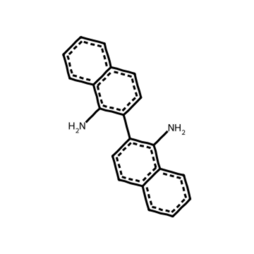 Nc1c(-c2ccc3ccccc3c2N)ccc2ccccc12